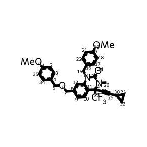 COc1ccc(COCc2ccc3c(c2)N(Cc2ccc(OC)cc2)C(=O)N(C)C3(C#CC2CC2)C(F)(F)F)cc1